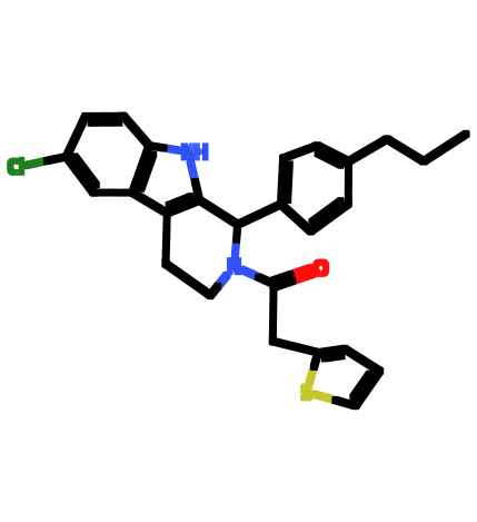 CCCc1ccc(C2c3[nH]c4ccc(Cl)cc4c3CCN2C(=O)Cc2cccs2)cc1